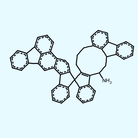 NC1CC2c3ccccc3-c3cccc(c32)CCCC2=C1c1ccccc1C21c2ccccc2-c2c1ccc1c2cc2c3c(cccc31)-c1ccccc1-2